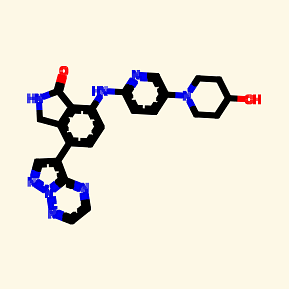 O=C1NCc2c(-c3cnn4nccnc34)ccc(Nc3ccc(N4CCC(O)CC4)cn3)c21